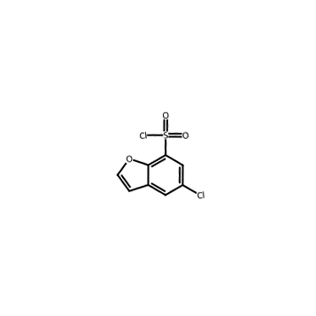 O=S(=O)(Cl)c1cc(Cl)cc2ccoc12